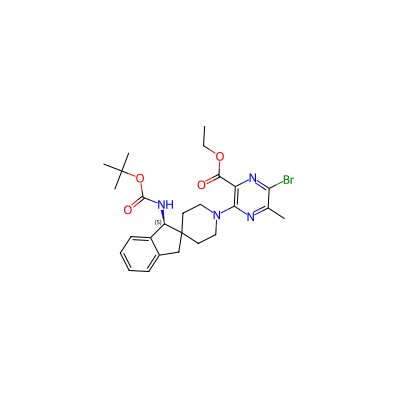 CCOC(=O)c1nc(Br)c(C)nc1N1CCC2(CC1)Cc1ccccc1[C@H]2NC(=O)OC(C)(C)C